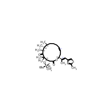 C/C(=C\c1csc(C)n1)[C@@H]1C/C=C\CCC[C@H](C)[C@@H](C)[C@H](C)C(=O)C(C)(C)[C@@H](O[Si](C)(C)C(C)(C)C)CC(=O)O1